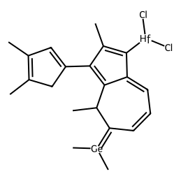 CC1=C(C)CC(C2=C3C(=CC=C[C](=[Ge]([CH3])[CH3])C3C)[C]([Hf]([Cl])[Cl])=C2C)=C1